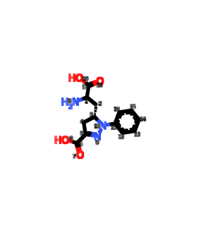 NC(C[C@H]1CC(C(=O)O)=NN1c1ccccc1)C(=O)O